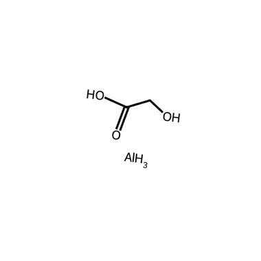 O=C(O)CO.[AlH3]